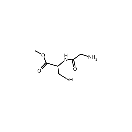 COC(=O)[C@H](CS)NC(=O)CN